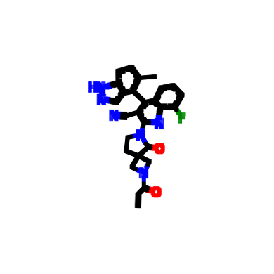 C=CC(=O)N1CC2(CCN(c3nc4c(F)cccc4c(-c4c(C)ccc5[nH]ncc45)c3C#N)C2=O)C1